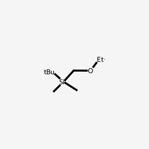 C[CH]OC[Si](C)(C)C(C)(C)C